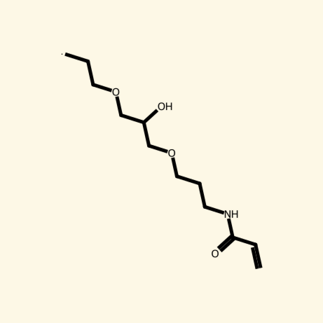 [CH2]CCOCC(O)COCCCNC(=O)C=C